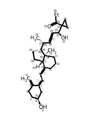 C=C1CC[C@H](O)C/C1=C/C=C1\CCC[C@]2(C)[C@@H]([C@H](C)/C=C/[C@H](O)C3(C(=O)CC)CC3)CC[C@@H]12